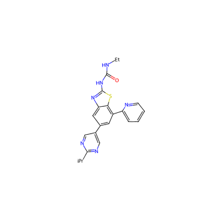 CCNC(=O)Nc1nc2cc(-c3cnc(C(C)C)nc3)cc(-c3ccccn3)c2s1